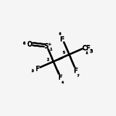 O=[S+]C(F)(F)C(F)(F)C(F)(F)F